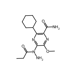 CCC(=O)N(N)c1nc(C2CCCCC2)c(C(N)=O)nc1OC